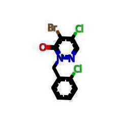 O=c1c(Br)c(Cl)cnn1Cc1ccccc1Cl